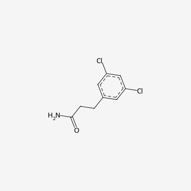 NC(=O)CCc1cc(Cl)cc(Cl)c1